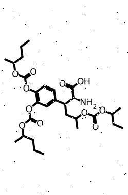 CCCC(C)OC(=O)Oc1ccc(C(CC(C)OC(=O)OC(C)CC)[C@H](N)C(=O)O)cc1OC(=O)OC(C)CCC